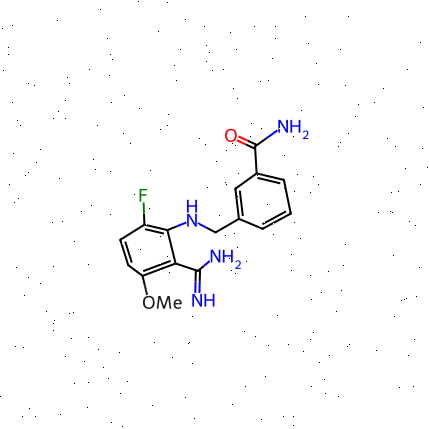 COc1ccc(F)c(NCc2cccc(C(N)=O)c2)c1C(=N)N